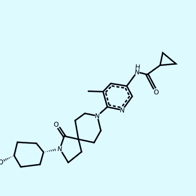 Cc1cc(NC(=O)C2CC2)cnc1N1CCC2(CC1)CCN([C@H]1CC[C@@H](O)CC1)C2=O